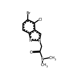 CN(C)C(=O)Cn1cc2c(Cl)c(Br)ccc2n1